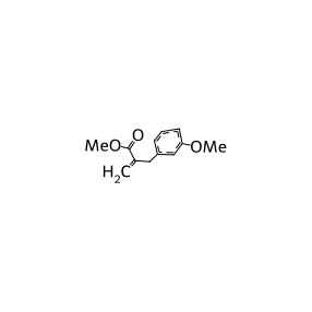 C=C(Cc1cccc(OC)c1)C(=O)OC